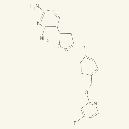 Nc1ccc(-c2cc(Cc3ccc(COc4cc(F)ccn4)cc3)no2)c(N)n1